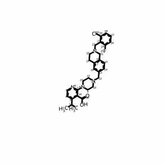 CC(C)c1ccnc(N2CCN(Cc3ccc4c(c3)CCN(Cc3c(F)cccc3Cl)C4)CC2)c1C(=O)O